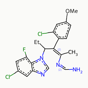 CCC(/C(=C(C)\N=C/N)c1ccc(OC)cc1Cl)n1cnc2cc(Cl)cc(F)c21